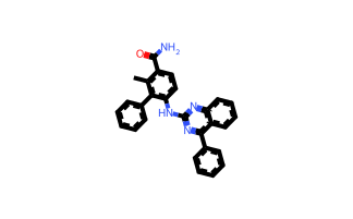 Cc1c(C(N)=O)ccc(Nc2nc(-c3ccccc3)c3ccccc3n2)c1-c1ccccc1